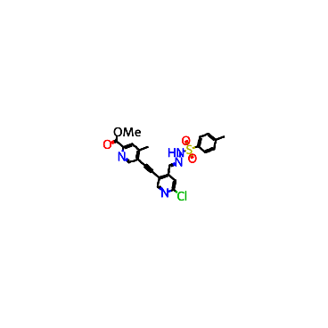 COC(=O)c1cc(C)c(C#Cc2cnc(Cl)cc2/C=N/NS(=O)(=O)c2ccc(C)cc2)cn1